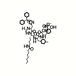 CCCCCCCC(=O)NCCCC[C@H](NC(=O)[C@@H](N)Cc1cn(C(c2ccccc2)c2ccccc2)cn1)C(=O)N[C@H](Cc1ccc(C)cc1)C(=O)NC(Cc1ccc(O)c([N+](=O)[O-])c1)C(=O)O